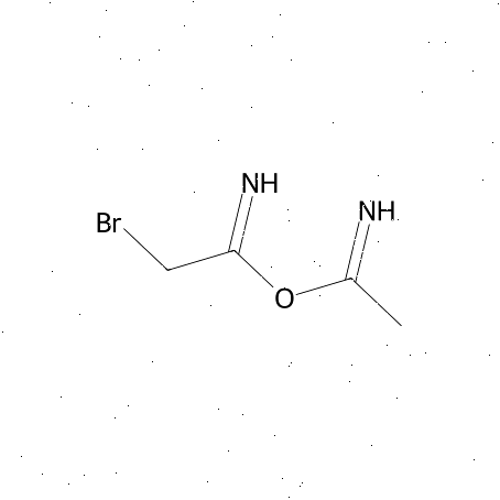 CC(=N)OC(=N)CBr